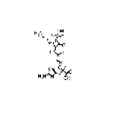 CC(Cc1csc(N)n1)(ON=CC(=O)N[C@@H]1C(=O)N(S(=O)(=O)O)[C@@H]1SCCN)C(=O)O